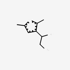 Cc1cc(C(O)CC#N)c(C)o1